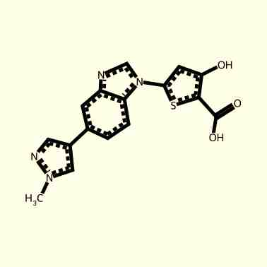 Cn1cc(-c2ccc3c(c2)ncn3-c2cc(O)c(C(=O)O)s2)cn1